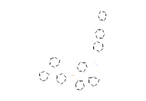 CP(C)c1ccccc1.CP(c1ccccc1)c1ccccc1.NCSc1ccccc1.c1ccc(P(c2ccccc2)c2ccccc2)cc1.c1ccc(Sc2ccccc2)cc1